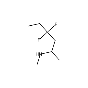 CCC(F)(F)CC(C)NC